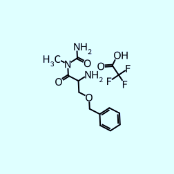 CN(C(N)=O)C(=O)C(N)COCc1ccccc1.O=C(O)C(F)(F)F